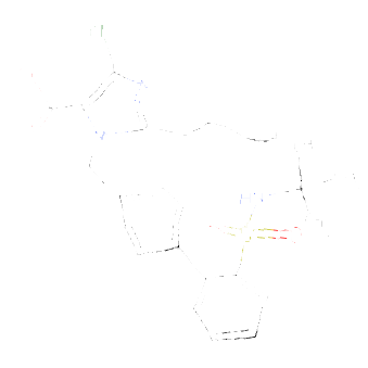 CCCCc1nc(Cl)c(C(=O)O)n1Cc1ccc(-c2ccccc2S(=O)(=O)NC(C)(C)C)cc1